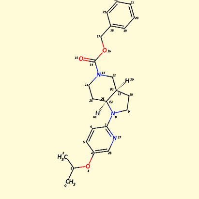 CC(C)Oc1ccc(N2CC[C@@H]3CN(C(=O)OCc4ccccc4)CC[C@@H]32)nc1